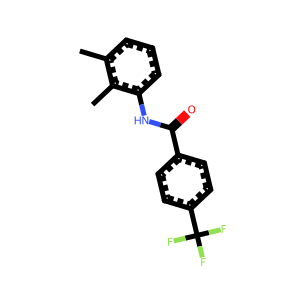 Cc1cccc(NC(=O)c2ccc(C(F)(F)F)cc2)c1C